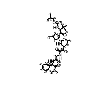 CCCC(NC(=O)[C@@H]1C[C@@H](C)CN1C(=O)[C@@H](NC(=O)OCC(C)C)C(C)(C)C)C(=O)C(=O)NCC(=O)NC(C(=O)N(C)C)c1ccccc1